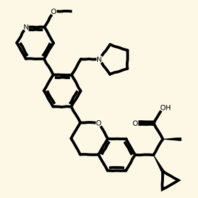 COc1cc(-c2ccc(C3CCc4ccc([C@H](C5CC5)[C@H](C)C(=O)O)cc4O3)cc2CN2CCCC2)ccn1